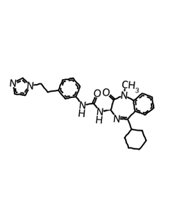 CN1C(=O)[C@H](NC(=O)Nc2cccc(CCn3ccnc3)c2)N=C(C2CCCCC2)c2ccccc21